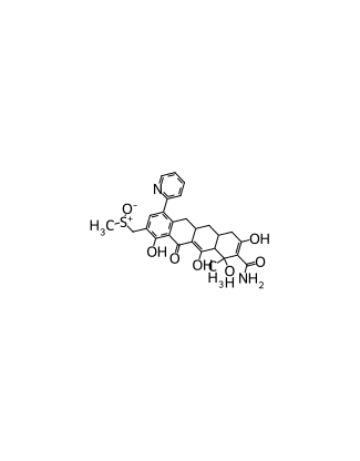 C[S+]([O-])Cc1cc(-c2ccccn2)c2c(c1O)C(=O)C1=C(O)C3C(CC(O)=C(C(N)=O)C3(C)O)CC1C2